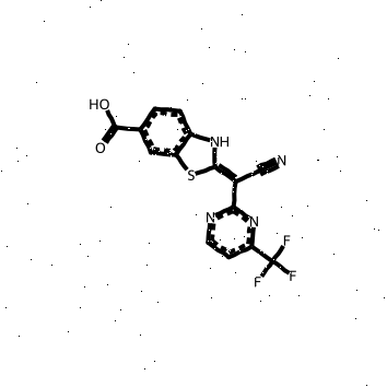 N#C/C(=C1\Nc2ccc(C(=O)O)cc2S1)c1nccc(C(F)(F)F)n1